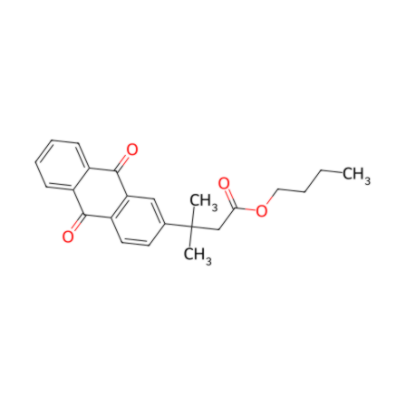 CCCCOC(=O)CC(C)(C)c1ccc2c(c1)C(=O)c1ccccc1C2=O